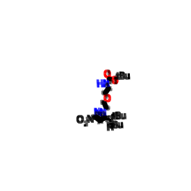 CC(C)(C)OC(=O)NCCOCCn1nc([N+](=O)[O-])cc1[SiH](C(C)(C)C)C(C)(C)C